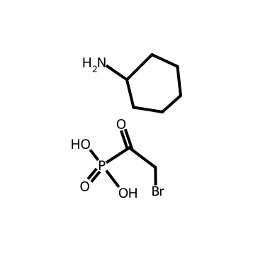 NC1CCCCC1.O=C(CBr)P(=O)(O)O